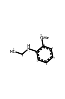 COc1ccccc1NCC#N